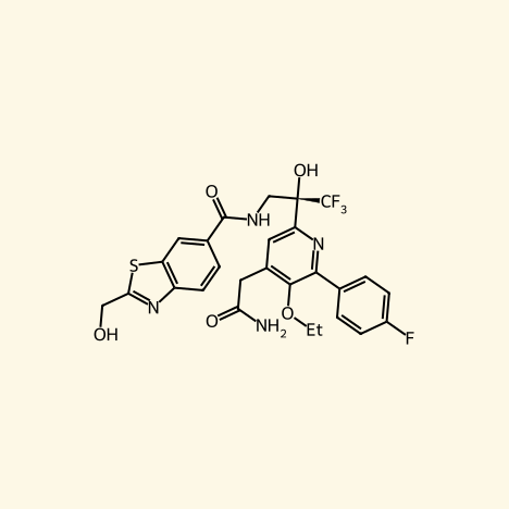 CCOc1c(CC(N)=O)cc([C@@](O)(CNC(=O)c2ccc3nc(CO)sc3c2)C(F)(F)F)nc1-c1ccc(F)cc1